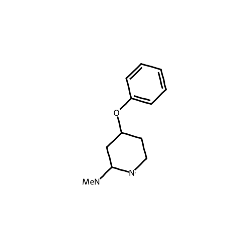 CNC1CC(Oc2ccccc2)CC[N]1